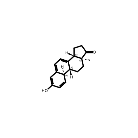 C[C@]12CC[C@H]3C(=CC=C4C=C(O)C=C[C@@H]43)[C@@H]1CCC2=O